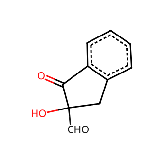 O=CC1(O)Cc2ccccc2C1=O